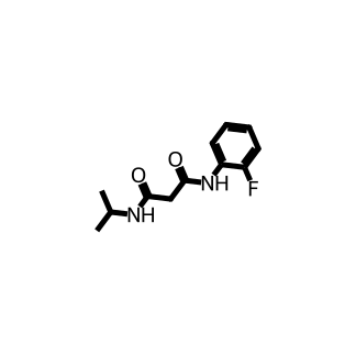 CC(C)NC(=O)CC(=O)Nc1ccccc1F